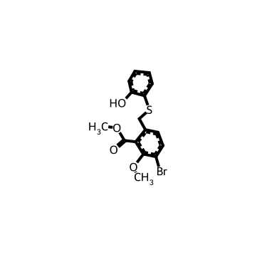 COC(=O)c1c(CSc2ccccc2O)ccc(Br)c1OC